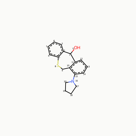 OC1c2ccccc2SCc2c1cccc2N1CCCC1